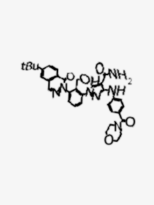 CC(C)(C)c1ccc2c(=O)n(-c3cccc(-n4cc(C(N)=O)c(Nc5ccc(C(=O)N6CCOCC6)cc5)n4)c3CO)ncc2c1